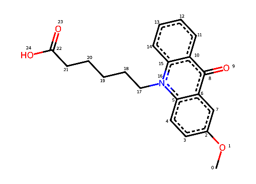 COc1ccc2c(c1)c(=O)c1ccccc1n2CCCCCC(=O)O